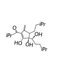 C=C1C(C(=O)C(C)C)=C(O)[C@@](O)([C@@H](O)CCC(C)C)C1CCC(C)C